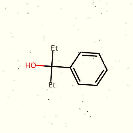 CCC(O)(CC)c1[c]cccc1